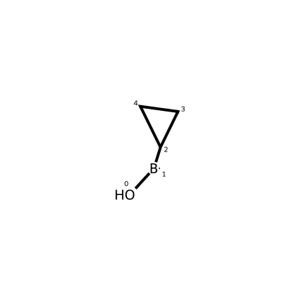 O[B]C1CC1